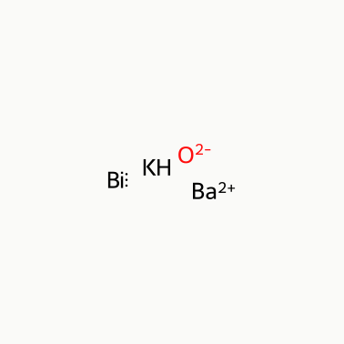 [Ba+2].[Bi].[KH].[O-2]